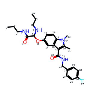 CCCNC(=O)C(NCCC)Oc1ccc2c(c1)c(C(=O)NCc1ccc(F)cc1)c(C)n2C